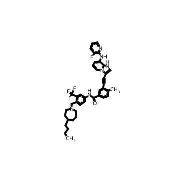 CCCCC1CCCN(Cc2ccc(NC(=O)c3ccc(C)c(C#CC4=CNC5C(Nc6ncccc6F)=CC=CN45)c3)cc2C(F)(F)F)CC1